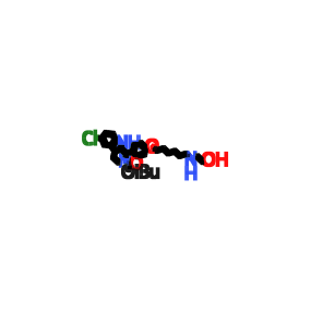 CC(C)COC(=O)N1CCc2c([nH]c3ccc(Cl)cc23)C1c1ccc(OCCCCCCNCCO)cc1